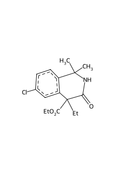 CCOC(=O)C1(CC)C(=O)NC(C)(C)c2ccc(Cl)cc21